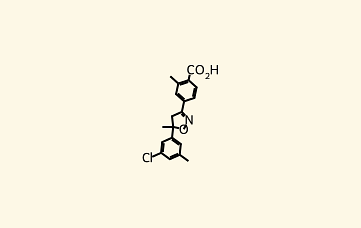 Cc1cc(Cl)cc(C2(C)CC(c3ccc(C(=O)O)c(C)c3)=NO2)c1